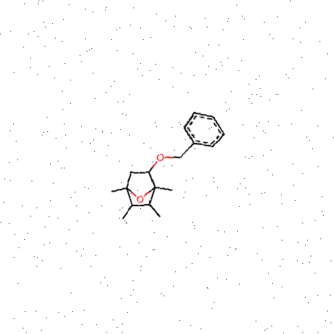 CC1C(C)C2(C)OC1(C)CC2OCc1ccccc1